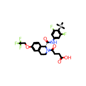 C[Si](C)(C)c1c(F)cc(NC(=O)[C@H]2c3ccc(OCC(F)(F)F)cc3CCN2C(=O)CCC(=O)O)cc1F